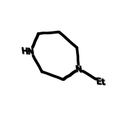 [CH2]CN1CCCNCC1